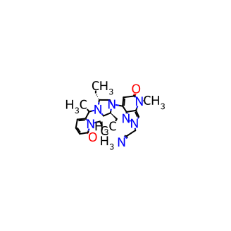 CC[C@H]1CN(C(C)c2cccc(=O)n2CC)[C@H](CC)CN1c1cc(=O)n(C)c2cn(CC#N)nc12